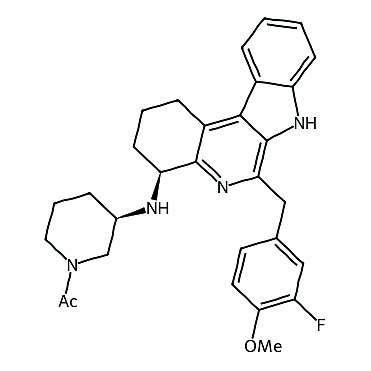 COc1ccc(Cc2nc3c(c4c2[nH]c2ccccc24)CCC[C@@H]3N[C@@H]2CCCN(C(C)=O)C2)cc1F